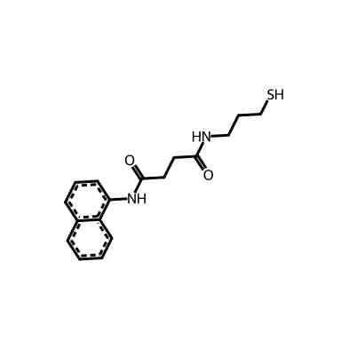 O=C(CCC(=O)Nc1cccc2ccccc12)NCCCS